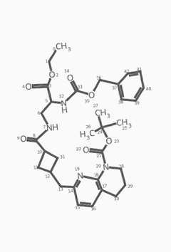 CCOC(=O)C(CNC(=O)C1CC(Cc2ccc3c(n2)N(C(=O)OC(C)(C)C)CCC3)C1)NC(=O)OCc1ccccc1